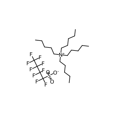 CCCCC[N+](CCCCC)(CCCCC)CCCCC.O=S(=O)([O-])C(F)(F)C(F)(F)C(F)(F)C(F)(F)F